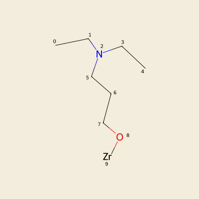 CCN(CC)CCC[O][Zr]